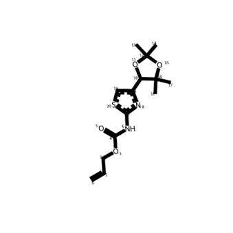 C=CCOC(=O)Nc1nc(C2OC(C)(C)OC2(C)C)cs1